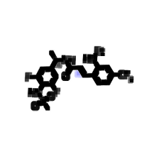 CCNc1cc(C(F)(F)F)ccc1/C=C/C(=O)N[C@H](C)c1cc(F)c(NS(C)(=O)=O)c(F)c1